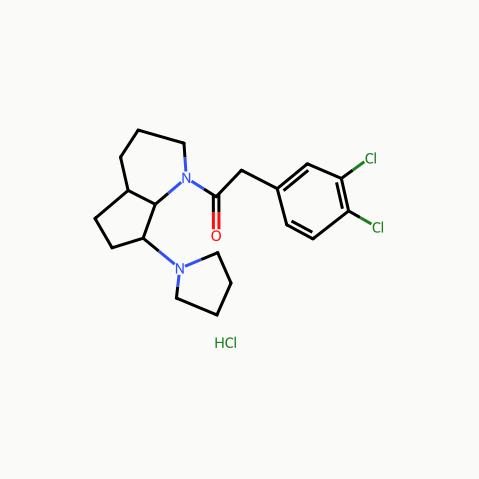 Cl.O=C(Cc1ccc(Cl)c(Cl)c1)N1CCCC2CCC(N3CCCC3)C21